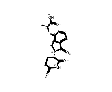 C[C@H](Oc1cccc2c1CN([C@H]1CCC(=O)NC1=O)C2=O)C(=O)O